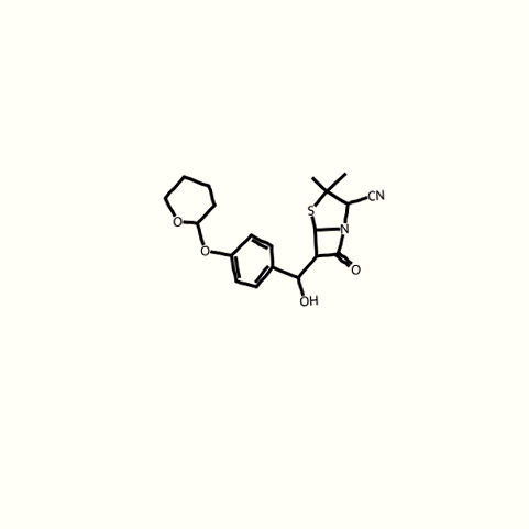 CC1(C)SC2C(C(O)c3ccc(OC4CCCCO4)cc3)C(=O)N2C1C#N